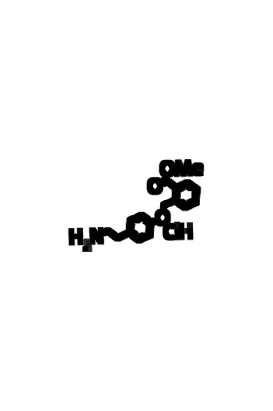 COC(=O)c1ccccc1COc1ccc(CCN)cc1.Cl